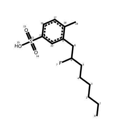 CCCCCCC(F)Cc1cc(S(=O)(=O)O)ccc1C